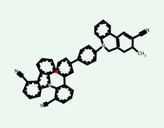 CC1CC2=C(C=C1C#N)c1ccccc1N(c1ccc(-c3cccc(-c4cccc(C#N)c4-n4c5ccccc5c5c(C#N)cccc54)c3)cc1)C2